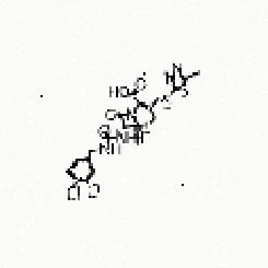 Cc1nnc(SCC2=C(C(=O)O)N3C(=O)C(NC(=O)NCc4ccc(Cl)c(Cl)c4)[C@H]3SC2)s1